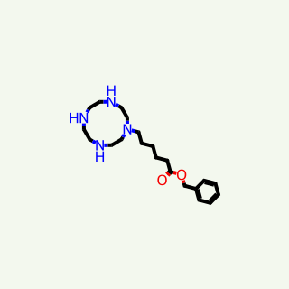 O=C(CCCCCN1CCNCCNCCNCC1)OCc1ccccc1